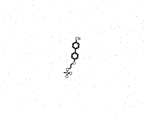 CS(=O)(=O)OCCOc1ccc(-c2ccc(C#N)cc2)cc1